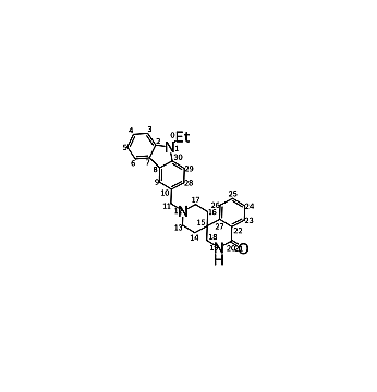 CCn1c2ccccc2c2cc(CN3CCC4(CC3)CNC(=O)c3ccccc34)ccc21